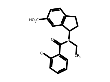 O=C(O)c1ccc2c(c1)C(N(CC(F)(F)F)C(=O)c1ccccc1Cl)CC2